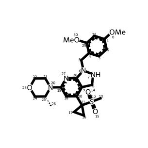 COc1ccc(CN2NCc3c(C4(S(C)(=O)=O)CC4)cc(N4CCOC[C@H]4C)nc32)c(OC)c1